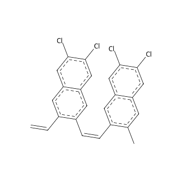 C=Cc1cc2cc(Cl)c(Cl)cc2cc1/C=C\c1cc2cc(Cl)c(Cl)cc2cc1C